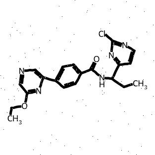 CCOc1cncc(-c2ccc(C(=O)NC(CC)c3ccnc(Cl)n3)cc2)n1